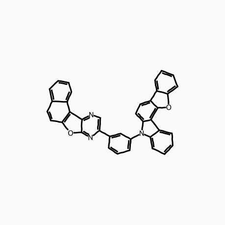 c1cc(-c2cnc3c(n2)oc2ccc4ccccc4c23)cc(-n2c3ccccc3c3c4oc5ccccc5c4ccc32)c1